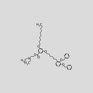 CCCCCCCCCCOc1cc(OCCCCCCc2cccc(OCc3ccccc3)c2OCc2ccccc2)cc(C(=O)OCCN(CC)CC)c1